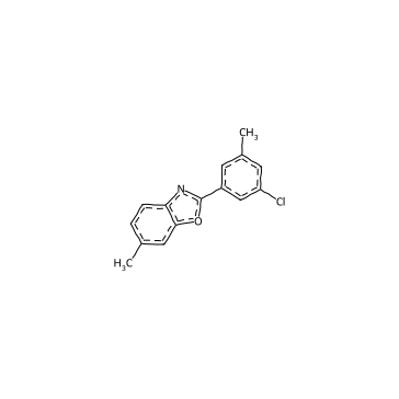 Cc1cc(Cl)cc(-c2nc3ccc(C)cc3o2)c1